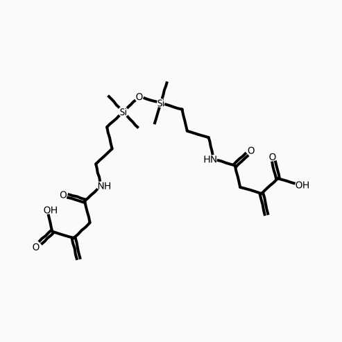 C=C(CC(=O)NCCC[Si](C)(C)O[Si](C)(C)CCCNC(=O)CC(=C)C(=O)O)C(=O)O